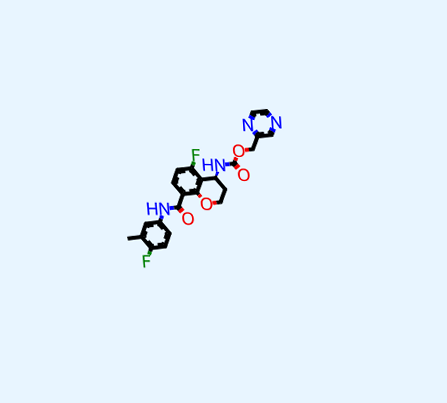 Cc1cc(NC(=O)c2ccc(F)c3c2OCC[C@@H]3NC(=O)OCc2cnccn2)ccc1F